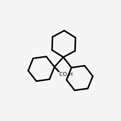 O=C(O)C1(C2(C3CCCCC3)CCCCC2)CCCCC1